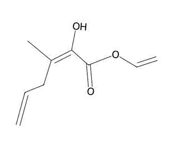 C=CC/C(C)=C(/O)C(=O)OC=C